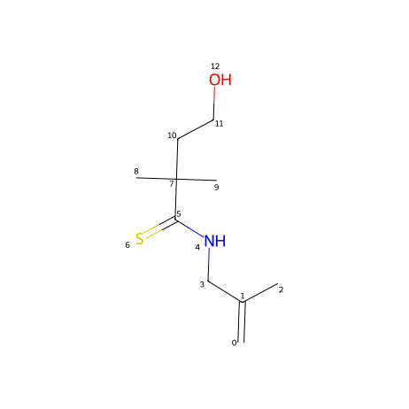 C=C(C)CNC(=S)C(C)(C)CCO